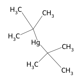 C[C](C)(C)[Hg][C](C)(C)C